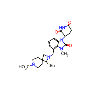 Cn1c(=O)n(C2CCC(=O)NC2=O)c2cccc(CN3CC4(CCN(C(=O)O)CC4)C3C(C)(C)C)c21